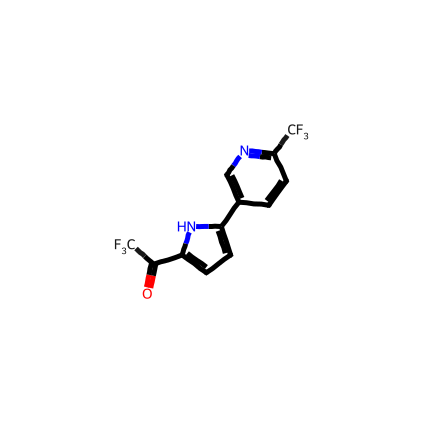 O=C(c1ccc(-c2ccc(C(F)(F)F)nc2)[nH]1)C(F)(F)F